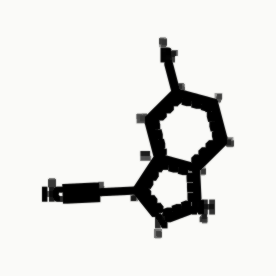 C#Cc1n[nH]c2ccc(Br)cc12